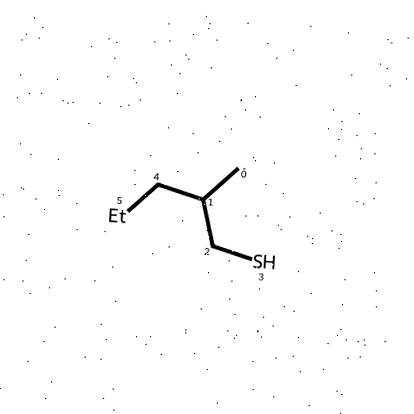 [CH2]C(CS)CCC